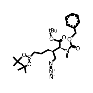 CN(C(=O)OCc1ccccc1)[C@H](C(=O)OC(C)(C)C)[C@H](CCCB1OC(C)(C)C(C)(C)O1)CN=[N+]=[N-]